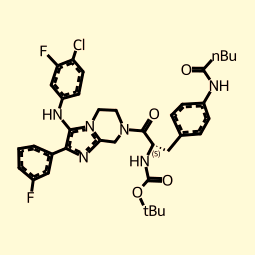 CCCCC(=O)Nc1ccc(C[C@H](NC(=O)OC(C)(C)C)C(=O)N2CCn3c(nc(-c4cccc(F)c4)c3Nc3ccc(Cl)c(F)c3)C2)cc1